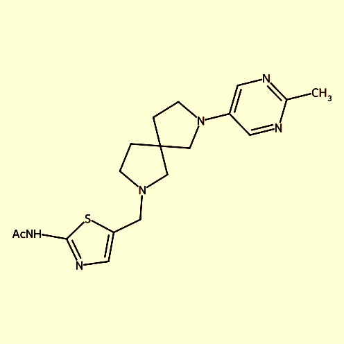 CC(=O)Nc1ncc(CN2CCC3(CCN(c4cnc(C)nc4)C3)C2)s1